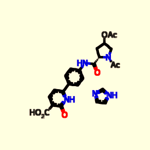 CC(=O)OC1C[C@@H](C(=O)Nc2ccc(-c3ccc(C(=O)O)c(=O)[nH]3)cc2)N(C(C)=O)C1.c1c[nH]cn1